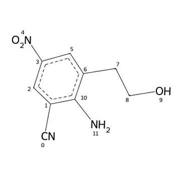 N#Cc1cc([N+](=O)[O-])cc(CCO)c1N